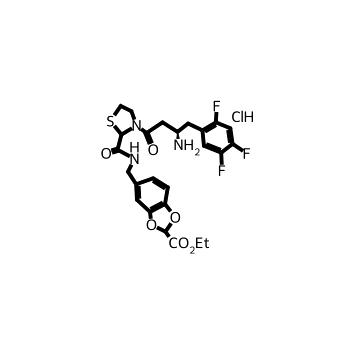 CCOC(=O)C1Oc2ccc(CNC(=O)C3SCCN3C(=O)C[C@H](N)Cc3cc(F)c(F)cc3F)cc2O1.Cl